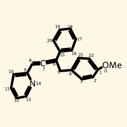 COc1ccc(CC(=C=Cc2ccccn2)c2ccccc2)cc1